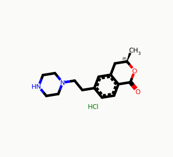 C[C@@H]1Cc2cc(CCN3CCNCC3)ccc2C(=O)O1.Cl